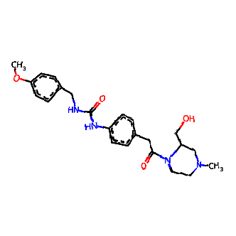 COc1ccc(CNC(=O)Nc2ccc(CC(=O)N3CCN(C)CC3CO)cc2)cc1